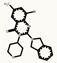 Cc1cc(Br)c2nc(N3Cc4ccccc4C3)n(C3CCOCC3)c(=O)c2c1